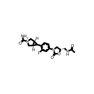 CC(=O)NC[C@H]1CN(c2ccc(C3[C@H]4CN(C(N)=O)C[C@@H]34)c(F)c2)C(=O)O1